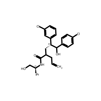 C=CCC(C[C@H](c1cccc(Cl)c1)C(O)c1ccc(Cl)cc1)C(=O)N[C@H](CO)C(C)C